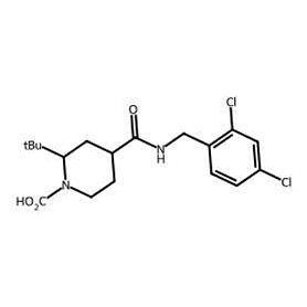 CC(C)(C)C1CC(C(=O)NCc2ccc(Cl)cc2Cl)CCN1C(=O)O